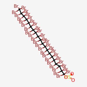 O=[SH](=O)OC(Br)(Br)C(Br)(Br)C(Br)(Br)C(Br)(Br)C(Br)(Br)C(Br)(Br)C(Br)(Br)C(Br)(Br)C(Br)(Br)C(Br)(Br)C(Br)(Br)C(Br)(Br)C(Br)(Br)C(Br)(Br)C(Br)(Br)C(Br)(Br)C(Br)(Br)C(Br)(Br)C(Br)(Br)C(Br)(Br)Br